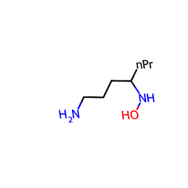 CCCC(CCCN)NO